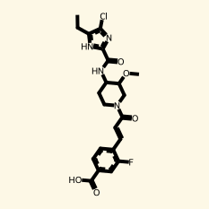 CCc1[nH]c(C(=O)NC2CCN(C(=O)C=Cc3ccc(C(=O)O)cc3F)CC2OC)nc1Cl